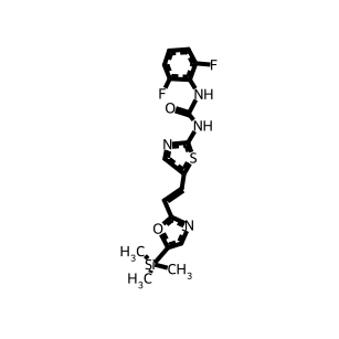 C[Si](C)(C)c1cnc(C=Cc2cnc(NC(=O)Nc3c(F)cccc3F)s2)o1